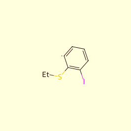 CCSc1[c]cccc1I